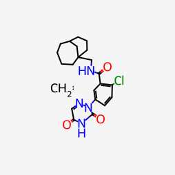 O=C(NCC12CCCCC(CCC1)C2)c1cc(-n2ncc(=O)[nH]c2=O)ccc1Cl.[CH2]